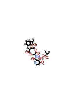 COc1ccnc(C(=O)NC2COC(=O)C(Cc3ccccc3)[C@@H](OC(=O)C(C)C)[C@H](C)OC2=O)c1OCOC(=O)C(C)C